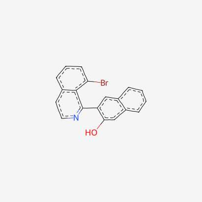 Oc1cc2ccccc2cc1-c1nccc2cccc(Br)c12